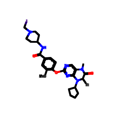 CCC1C(=O)N(C)c2cnc(Oc3ccc(C(=O)NC4CCN(CI)CC4)cc3OC)nc2N1C1CCCC1